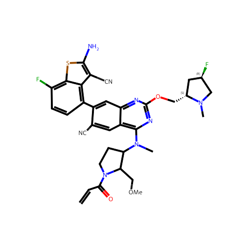 C=CC(=O)N1CCC(N(C)c2nc(OC[C@@H]3C[C@@H](F)CN3C)nc3cc(-c4ccc(F)c5sc(N)c(C#N)c45)c(C#N)cc23)C1COC